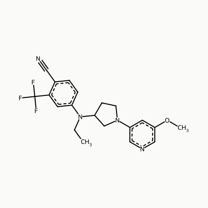 CCN(c1ccc(C#N)c(C(F)(F)F)c1)C1CCN(c2cncc(OC)c2)C1